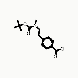 CN(CCc1ccc(C(=O)Cl)cc1)C(=O)OC(C)(C)C